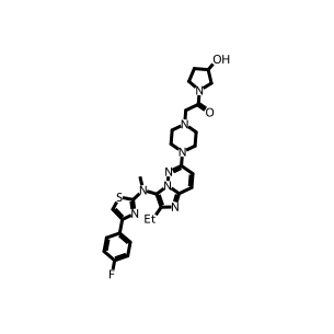 CCc1nc2ccc(N3CCN(CC(=O)N4CCC(O)C4)CC3)nn2c1N(C)c1nc(-c2ccc(F)cc2)cs1